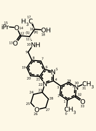 Cc1cc(-c2nc3cc(CN[C@H](C(=O)OC(C)C)[C@@H](C)O)ccc3n2C2CCOCC2)cn(C)c1=O